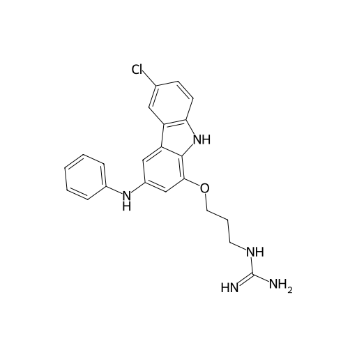 N=C(N)NCCCOc1cc(Nc2ccccc2)cc2c1[nH]c1ccc(Cl)cc12